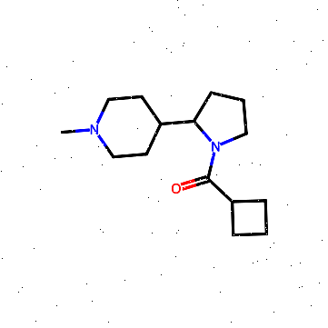 CN1CCC(C2CCCN2C(=O)C2CCC2)CC1